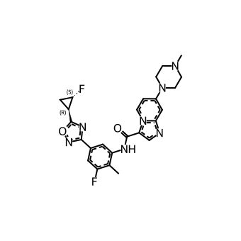 Cc1c(F)cc(-c2noc([C@H]3C[C@@H]3F)n2)cc1NC(=O)c1cnc2cc(N3CCN(C)CC3)ccn12